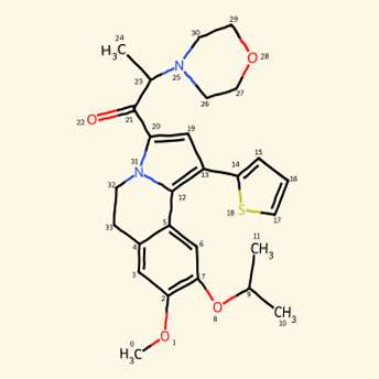 COc1cc2c(cc1OC(C)C)-c1c(-c3cccs3)cc(C(=O)C(C)N3CCOCC3)n1CC2